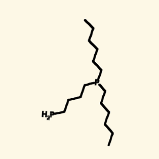 CCCCCCP(CCCCP)CCCCCC